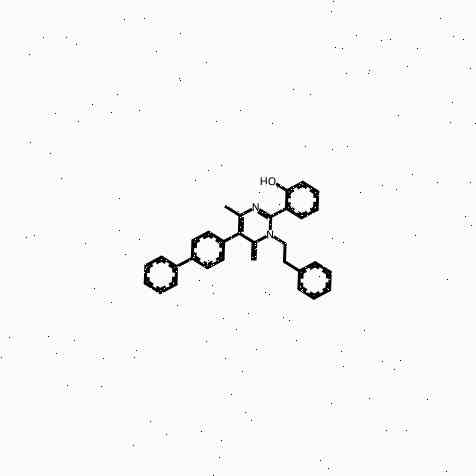 C=C1C(c2ccc(-c3ccccc3)cc2)=C(C)N=C(c2ccccc2O)N1CCc1ccccc1